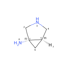 N[C@]12CNC[C@H]1C2